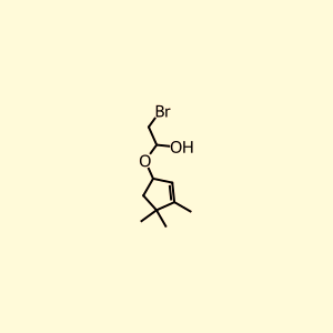 CC1=CC(OC(O)CBr)CC1(C)C